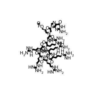 CC(=O)N[C@@H](CCCNC(=N)N)C(=O)NC(CCCNC(=N)N)C(=O)N[C@@H](CCCNC(=N)N)C(=O)N[C@@H](CCCNC(=N)N)C(=O)N[C@@H](CCCNC(=N)N)C(=O)NC(CCCNC(=N)N)C(=O)NCC(=O)N1C[C@@H](COP=O)O[C@@H](n2cnc3c(=O)[nH]c(N)nc32)C1